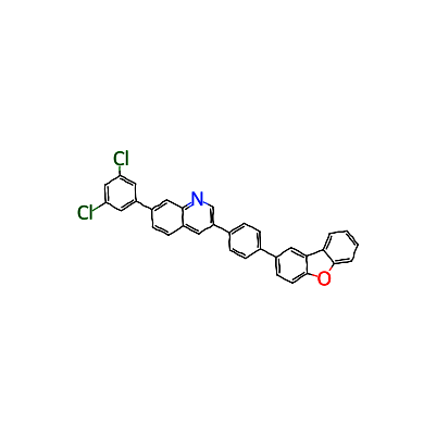 Clc1cc(Cl)cc(-c2ccc3cc(-c4ccc(-c5ccc6oc7ccccc7c6c5)cc4)cnc3c2)c1